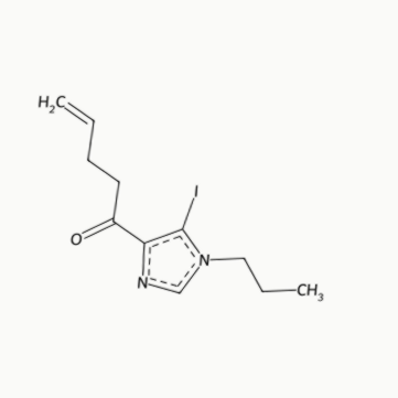 C=CCCC(=O)c1ncn(CCC)c1I